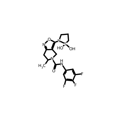 CC1Cc2noc(N3CCCS3(O)O)c2CN1C(=O)Nc1cc(F)c(F)c(F)c1